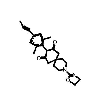 CC#Cc1cc(C)c(C2C(=O)CC3(CCN(C4=NCCO4)CC3)CC2=O)c(C)c1